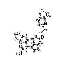 O=C(O)CC(c1ccc2c(c1)OCO2)n1ccc2cc(OCCc3ccc4c(n3)NCCC4)ccc21